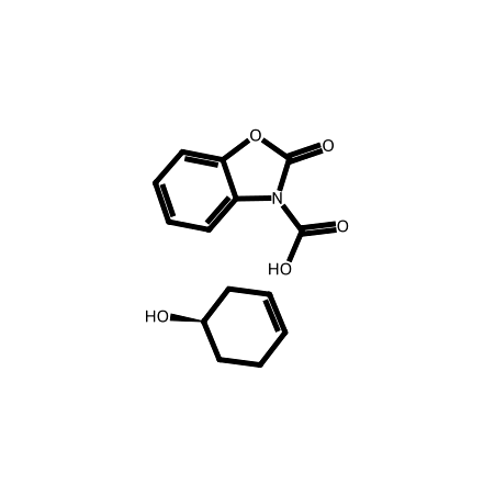 O=C(O)n1c(=O)oc2ccccc21.O[C@H]1CC=CCC1